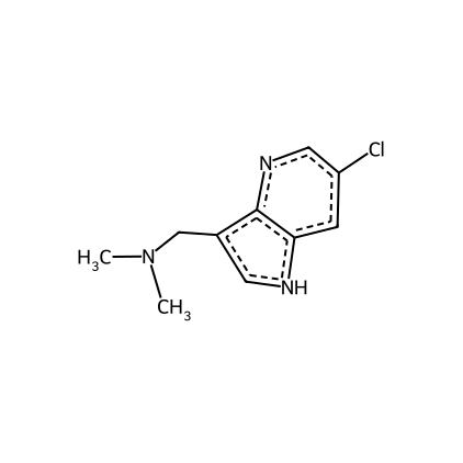 CN(C)Cc1c[nH]c2cc(Cl)cnc12